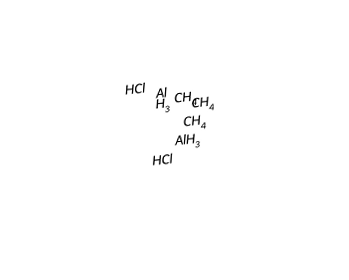 C.C.C.Cl.Cl.[AlH3].[AlH3]